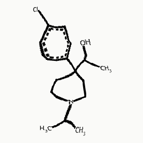 CC(C)N1CCC(c2ccc(Cl)cc2)(C(C)O)CC1